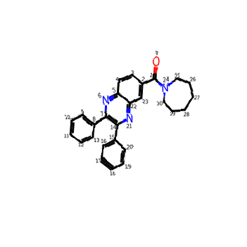 O=C(c1ccc2nc(-c3ccccc3)c(-c3cc#ccc3)nc2c1)N1CCCCCC1